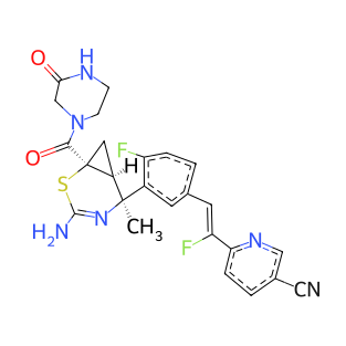 C[C@]1(c2cc(C=C(F)c3ccc(C#N)cn3)ccc2F)N=C(N)S[C@@]2(C(=O)N3CCNC(=O)C3)C[C@H]21